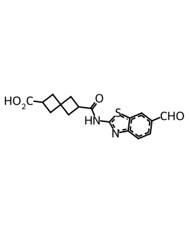 O=Cc1ccc2nc(NC(=O)C3CC4(CC(C(=O)O)C4)C3)sc2c1